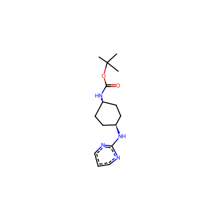 CC(C)(C)OC(=O)N[C@H]1CC[C@@H](Nc2ncccn2)CC1